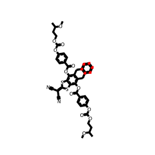 COC(C)CCOC(=O)Oc1ccc(C(=O)Oc2c3c(c(OC(=O)c4ccc(OC(=O)OCCC(C)OC)cc4)c4c2C2c5ccccc5C4c4ccccc42)SC(=C(C#N)C#N)S3)cc1